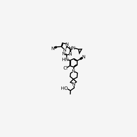 CC(O)CN1CC2(CCN(c3cc(C#N)cc(Nc4nc(NC5CC5)c5ncc(C#N)n5n4)c3Cl)CC2)C1